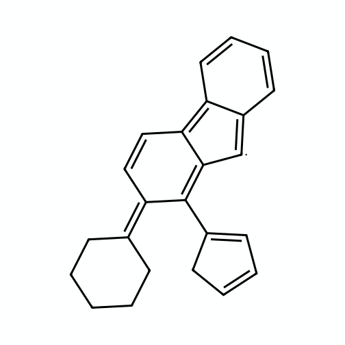 [C]1=c2ccccc2=c2ccc(=C3CCCCC3)c(C3=CC=CC3)c21